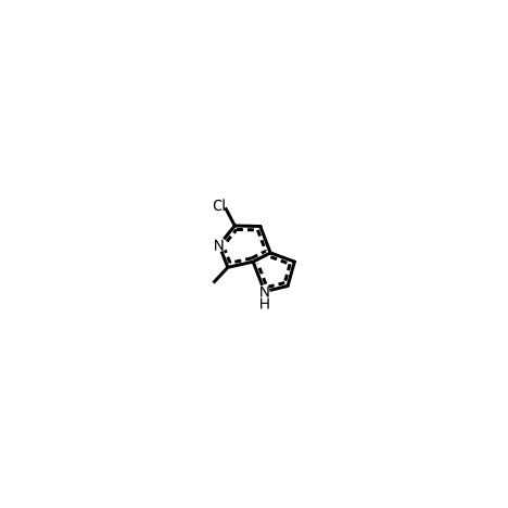 Cc1nc(Cl)cc2cc[nH]c12